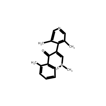 Cc1ccccc1C(=O)/C(=C\N(C)C)c1c(C)cncc1C